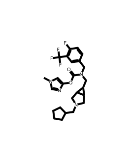 Cn1cnc(OC(=O)N(Cc2ccc(F)c(C(F)(F)F)c2)CC2C3CN(CC4CCCC4)CC32)c1